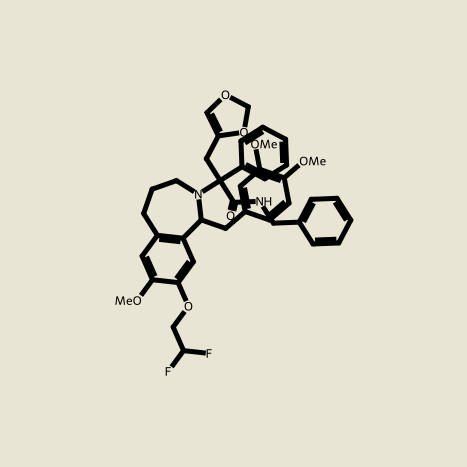 COc1ccc(CC2c3cc(OCC(F)F)c(OC)cc3CCCN2C(CC2=COCO2)(C(=O)NCc2ccccc2)c2ccccc2)cc1OC